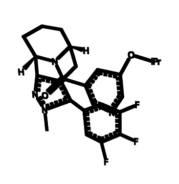 CC(C)Oc1cncc(C(=O)N2[C@@H]3CCC[C@H]2c2nn(C)c(-c4cc(F)c(F)c(F)c4)c2C3)c1